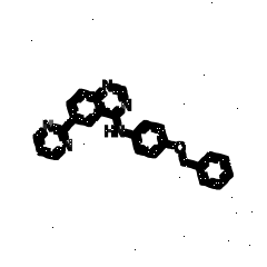 c1ccc(COc2ccc(Nc3ncnc4ccc(-c5ncccn5)cc34)cc2)cc1